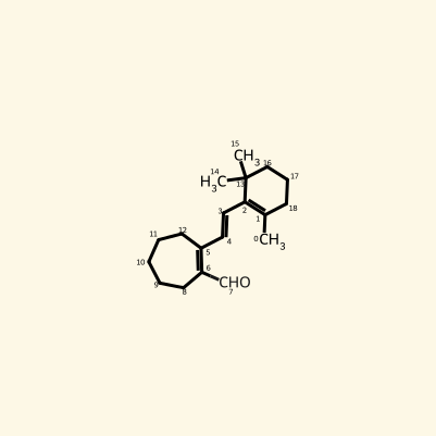 CC1=C(/C=C/C2=C(C=O)CCCCC2)C(C)(C)CCC1